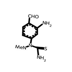 CNN(C(N)=S)c1ccc(C=O)c(N)c1